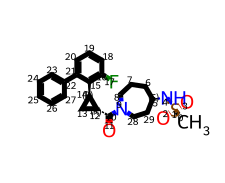 CS(=O)(=O)N[C@H]1CCCN(C(=O)[C@@H]2C[C@H]2c2c(F)cccc2-c2ccccc2)CC1